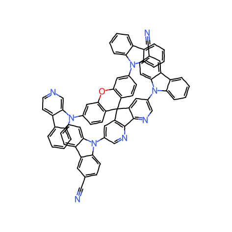 N#Cc1ccc2c(c1)c1ccccc1n2-c1cnc2c(c1)C1(c3ccc(-n4c5ccccc5c5ccccc54)cc3Oc3cc(-n4c5ccccc5c5ccncc54)ccc31)c1cc(-n3c4ccccc4c4cc(C#N)ccc43)cnc1-2